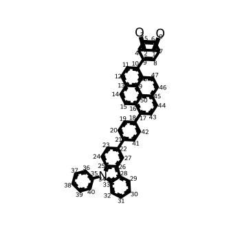 O=C1C(=O)C2C=CC1C=C2c1ccc2ccc3c(-c4ccc(-c5ccc6c(c5)c5ccccc5n6-c5ccccc5)cc4)ccc4ccc1c2c43